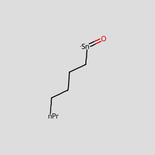 CCCCCC[CH2][Sn]=[O]